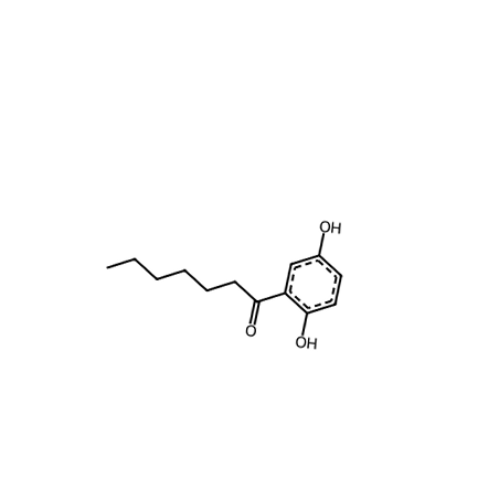 CCCCCCC(=O)c1cc(O)ccc1O